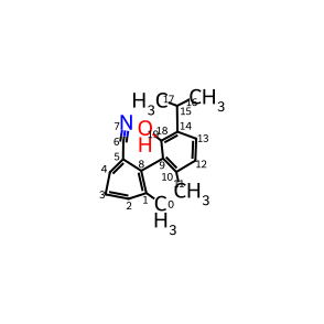 Cc1cccc(C#N)c1-c1c(C)ccc(C(C)C)c1O